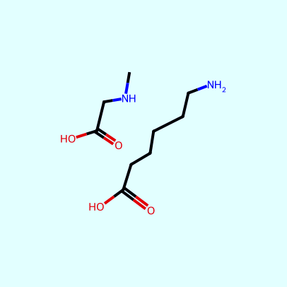 CNCC(=O)O.NCCCCCC(=O)O